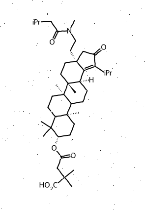 CC(C)CC(=O)N(C)CC[C@@]12CC[C@]3(C)[C@H](CCC4[C@@]5(C)CC[C@H](OC(=O)CC(C)(C)C(=O)O)C(C)(C)C5CC[C@]43C)C1=C(C(C)C)C(=O)C2